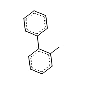 CCc1ccccc1-c1[c]cccc1